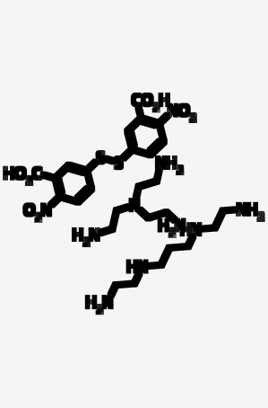 NCCN(CCN)CCN.NCCNCCCNCCN.O=C(O)c1cc(SSc2ccc([N+](=O)[O-])c(C(=O)O)c2)ccc1[N+](=O)[O-]